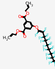 C=CCOC(=O)c1cc(OC(F)=C(F)C(F)(F)C(F)(F)C(F)(F)C(F)(F)C(F)(F)C(F)(F)C(F)(F)F)cc(C(=O)OCC=C)c1